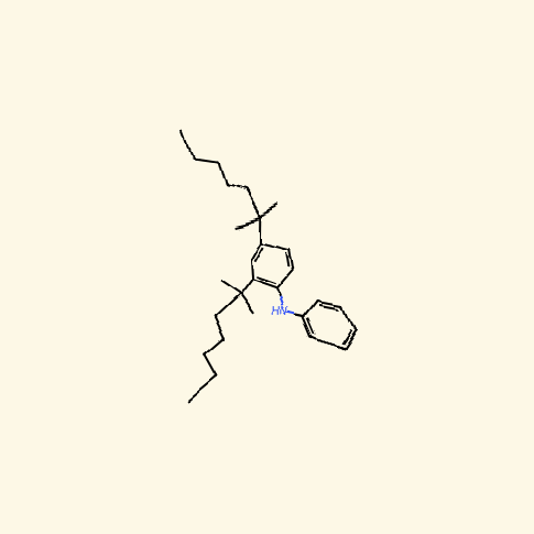 CCCCCC(C)(C)c1ccc(Nc2ccccc2)c(C(C)(C)CCCCC)c1